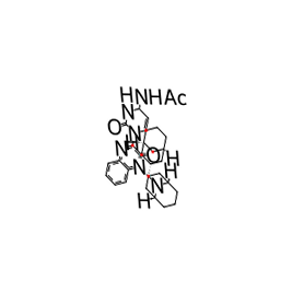 CC(=O)NC1C=CN(c2nc3ccccc3n([C@H]3C[C@H]4CCC[C@@H](C3)N4C[C@H]3C[C@@H]4CCC[C@@H](C4)C3)c2=O)C(=O)N1